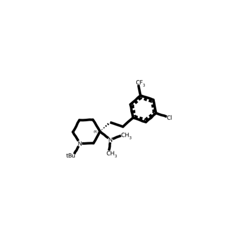 CN(C)[C@]1(CCc2cc(Cl)cc(C(F)(F)F)c2)CCCN(C(C)(C)C)C1